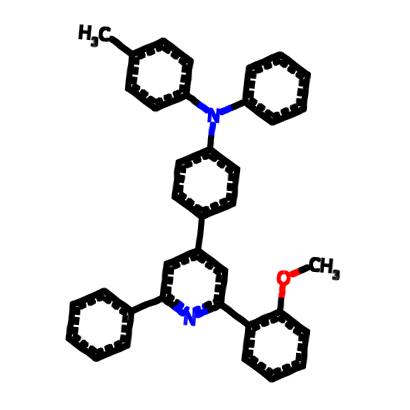 COc1ccccc1-c1cc(-c2ccc(N(c3ccccc3)c3ccc(C)cc3)cc2)cc(-c2ccccc2)n1